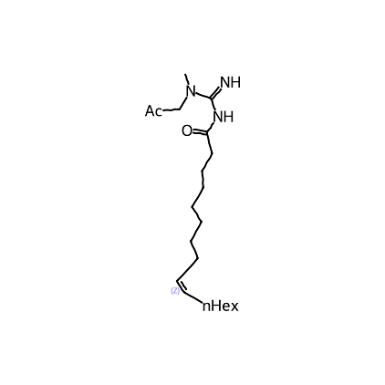 CCCCCC/C=C\CCCCCCCC(=O)NC(=N)N(C)CC(C)=O